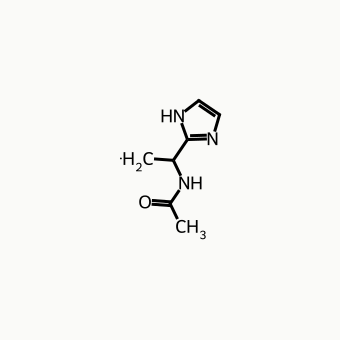 [CH2]C(NC(C)=O)c1ncc[nH]1